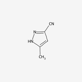 Cc1cc(C#N)n[nH]1